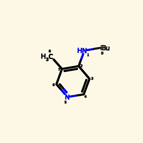 CCC(C)Nc1ccncc1C